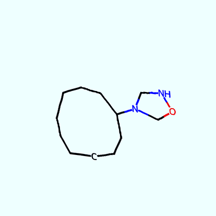 C1CCCCC(N2CNOC2)CCCC1